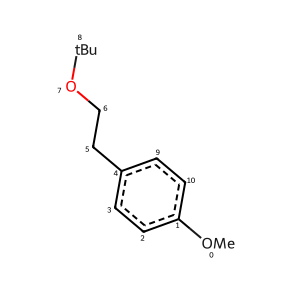 COc1ccc(CCOC(C)(C)C)cc1